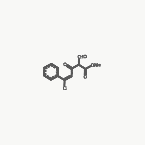 COC(=O)C(C=O)C(=O)/C=C(/Cl)c1ccccc1